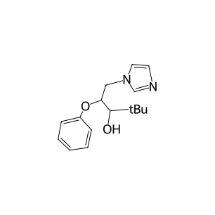 CC(C)(C)C(O)C(Cn1ccnc1)Oc1ccccc1